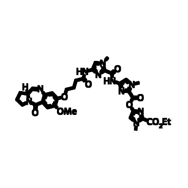 CCOC(=O)c1nc(OC(=O)c2nc(NC(=O)c3nc(NC(=O)CCCOc4cc5c(cc4OC)C(=O)N4CCC[C@H]4C=N5)cn3C)cn2C)cn1C